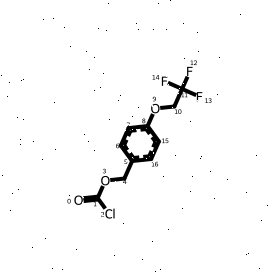 O=C(Cl)OCc1ccc(OCC(F)(F)F)cc1